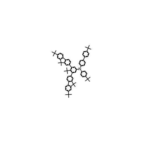 CC(C)(C)c1ccc(-c2ccc(N(c3ccc(C(C)(C)C)cc3)c3cc(-c4ccc5c(c4)C(C)(C)c4cc(C(C)(C)C)ccc4-5)c(C(C)(C)C)c(-c4ccc5c(c4)C(C)(C)c4cc(C(C)(C)C)ccc4-5)c3)cc2)cc1